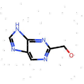 [O]Cc1ncc2nc[nH]c2n1